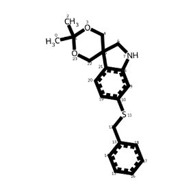 CC1(C)OCC2(CNc3cc(SCc4ccccc4)ccc32)CO1